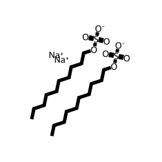 CCCCCCCCCCOS(=O)(=O)[O-].CCCCCCCCCCOS(=O)(=O)[O-].[Na+].[Na+]